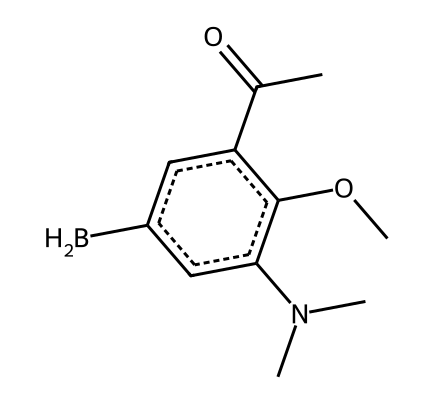 Bc1cc(C(C)=O)c(OC)c(N(C)C)c1